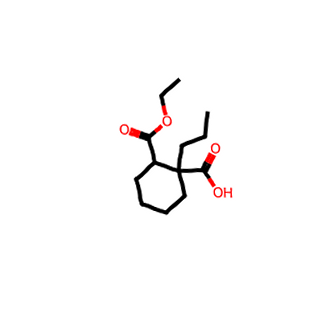 CCCC1(C(=O)O)CCCCC1C(=O)OCC